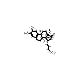 Cc1cc2c(cc1O)CC[C@H]1[C@@H]3[C@@H](CCCC(=O)O)CC(=O)[C@@]3(C)CC[C@H]21